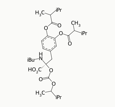 CCC(C)N[C@@](Cc1ccc(OC(=O)C(C)C(C)C)c(OC(=O)C(C)C(C)C)c1)(OC(=O)OC(C)C(C)C)C(=O)O